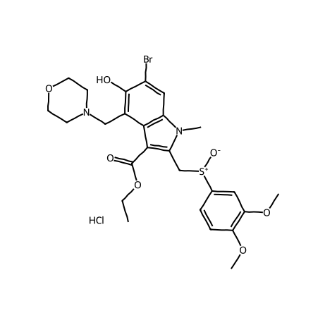 CCOC(=O)c1c(C[S+]([O-])c2ccc(OC)c(OC)c2)n(C)c2cc(Br)c(O)c(CN3CCOCC3)c12.Cl